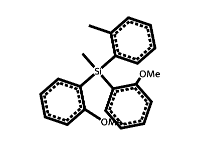 COc1ccccc1[Si](C)(c1ccccc1C)c1ccccc1OC